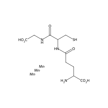 NC(CCC(=O)NC(CS)C(=O)NCC(=O)O)C(=O)O.[Mn].[Mn].[Mn]